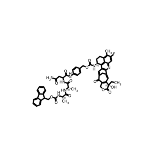 CC[C@@]1(O)C(=O)OCC2=C1C=C1CC(=Cc3c1nc1cc(F)c(C)c4c1c3[C@@H](NC(=O)OCc1ccc(NC(=O)C(CC(N)=O)NC(=O)[C@H](C)NC(=O)[C@H](C)NC(=O)OCC3c5ccccc5-c5ccccc53)cc1)CC4)C2=O